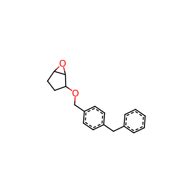 c1ccc(Cc2ccc(COC3CCC4OC34)cc2)cc1